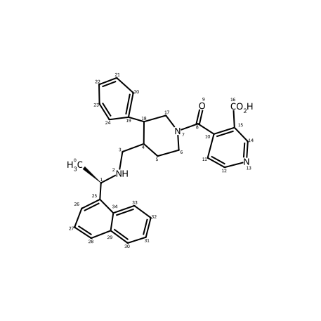 C[C@@H](NCC1CCN(C(=O)c2ccncc2C(=O)O)CC1c1ccccc1)c1cccc2ccccc12